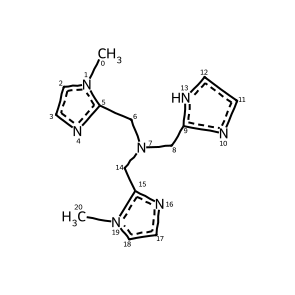 Cn1ccnc1CN(Cc1ncc[nH]1)Cc1nccn1C